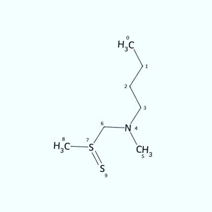 CCCCN(C)CS(C)=S